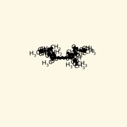 C=C1C[C@@H](CO[Si](C)(C)C(C)(C)C)N(C(=O)c2cc(OC)c(OCCCCCOc3cc(NC(=O)OC(C)(C)C)c(C(=O)N4CC(=O)C[C@H]4CO[Si](C)(C)C(C)(C)C)cc3OC)cc2N)C1